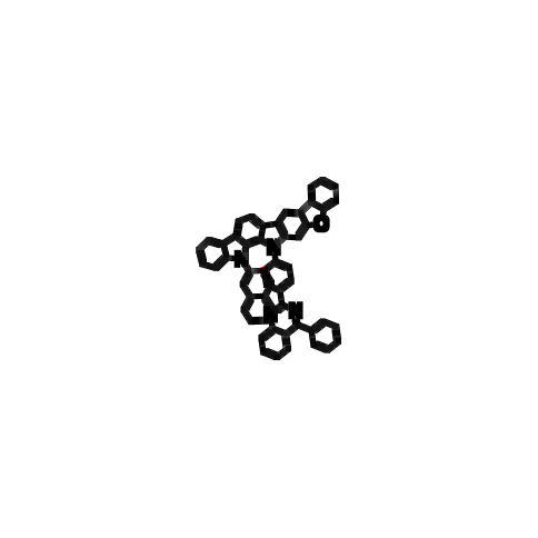 c1ccc(-c2nc(-c3ccc(-n4c5cc6oc7ccccc7c6cc5c5ccc6c7ccccc7n(-c7ccc8ccccc8c7)c6c54)cc3)nc3ccccc23)cc1